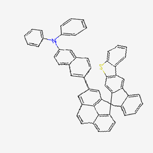 c1ccc(N(c2ccccc2)c2ccc3cc(-c4cc5c6c(ccc7cccc(c76)C56c5ccccc5-c5cc7c(cc56)sc5ccccc57)c4)ccc3c2)cc1